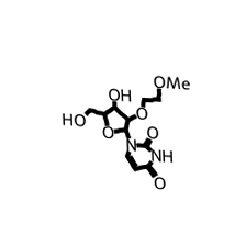 COCCOC1C(O)C(CO)OC1n1ccc(=O)[nH]c1=O